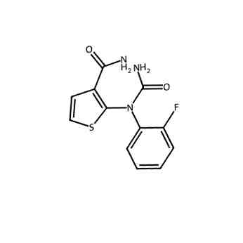 NC(=O)c1ccsc1N(C(N)=O)c1ccccc1F